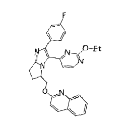 CCOc1nccc(-c2c(-c3ccc(F)cc3)nc3n2C(COc2ccc4ccccc4n2)CC3)n1